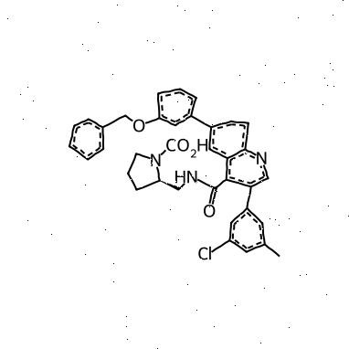 Cc1cc(Cl)cc(-c2cnc3ccc(-c4cccc(OCc5ccccc5)c4)cc3c2C(=O)NC[C@H]2CCCN2C(=O)O)c1